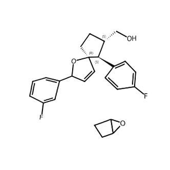 C1CC2OC12.OC[C@H]1CC[C@@]2(C=CC(c3cccc(F)c3)O2)[C@@H]1c1ccc(F)cc1